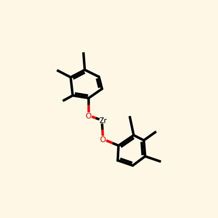 Cc1ccc([O][Zr][O]c2ccc(C)c(C)c2C)c(C)c1C